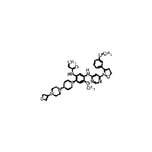 C=CC(=O)Nc1cc(Nc2cc(N3OCCC3c3cccc(OC)c3)ncn2)c(OC)cc1N1CCC(N2CCN(C3COC3)CC2)CC1